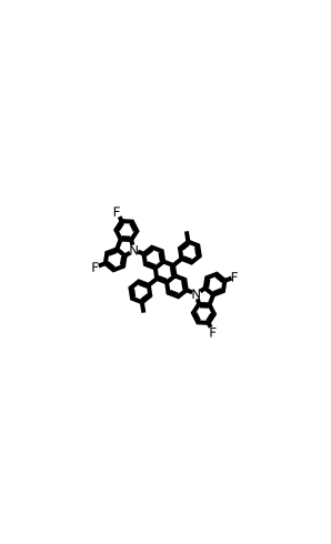 Cc1cccc(-c2c3ccc(-n4c5ccc(F)cc5c5cc(F)ccc54)cc3c(-c3cccc(C)c3)c3ccc(-n4c5ccc(F)cc5c5cc(F)ccc54)cc23)c1